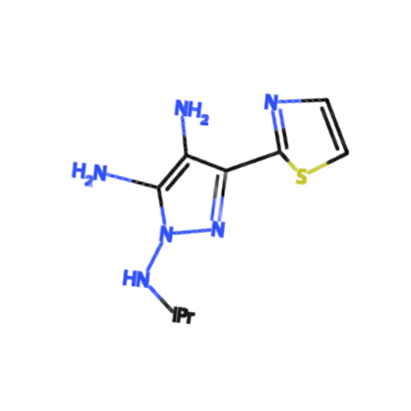 CC(C)Nn1nc(-c2nccs2)c(N)c1N